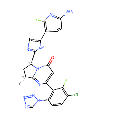 C[C@@H]1C[C@@H](c2ncc(-c3ccc(N)nc3F)[nH]2)n2c1nc(-c1c(-n3cnnn3)ccc(Cl)c1F)cc2=O